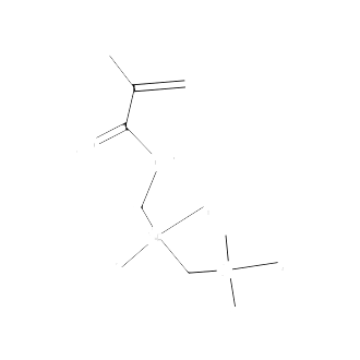 C=C(C)C(=O)OC[Si](C)(C)C[Si](C)(C)C